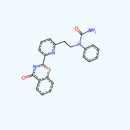 NC(=O)N(CCc1cccc(-c2nc(=O)c3ccccc3s2)n1)c1ccccc1